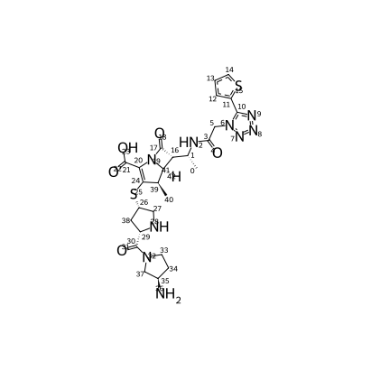 C[C@@H](NC(=O)Cn1nnnc1-c1cccs1)[C@H]1C(=O)N2C(C(=O)O)=C(S[C@@H]3CN[C@H](C(=O)N4CC[C@@H](N)C4)C3)[C@H](C)[C@H]12